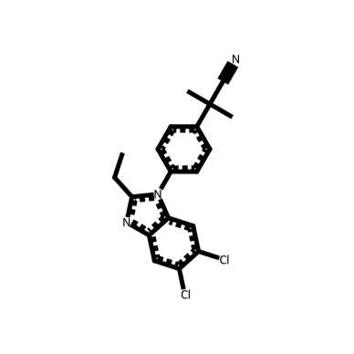 CCc1nc2cc(Cl)c(Cl)cc2n1-c1ccc(C(C)(C)C#N)cc1